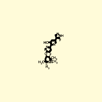 CC1(C)C[C@@H](Oc2ccc(-c3ncc(-c4cn[nH]c4F)cc3O)nn2)[C@@H](F)C(C)(C)N1